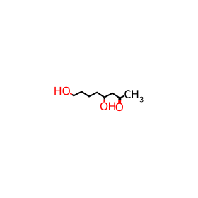 CC(=O)CC(O)CCCCO